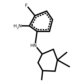 CC1CC(Nc2cccc(F)c2N)CC(C)(C)C1